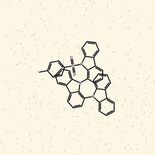 Cc1ccc(S(=O)(=O)n2c3ccccc3c3cccc(-n4c5ccccc5c5cccc(-n6c7ccccc7c7ccccc76)c54)c32)cc1